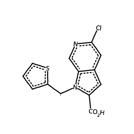 O=C(O)c1cc2cc(Cl)ncc2n1[CH]c1cccs1